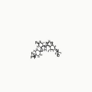 Cc1cc(N=S(C)(C)=O)cc2ncnc(Nc3ccc(F)cc3OC3CCC(C(F)(F)F)CC3)c12